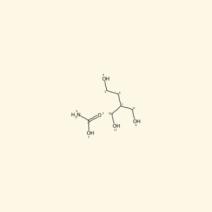 NC(=O)O.OCCC(CO)CO